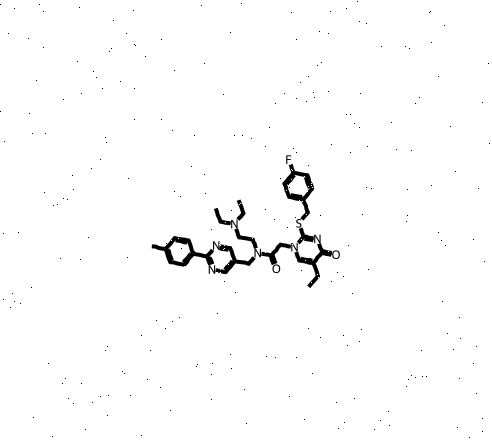 CCc1cn(CC(=O)N(CCN(CC)CC)Cc2cnc(-c3ccc(C)cc3)nc2)c(SCc2ccc(F)cc2)nc1=O